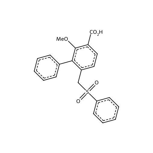 COc1c(C(=O)O)ccc(CS(=O)(=O)c2ccccc2)c1-c1ccccc1